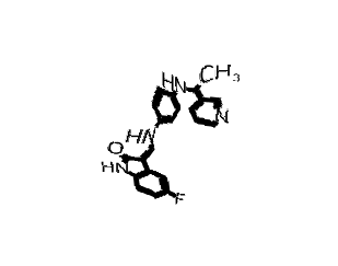 CC(Nc1ccc(N/C=C2\C(=O)Nc3ccc(F)cc32)cc1)c1cccnc1